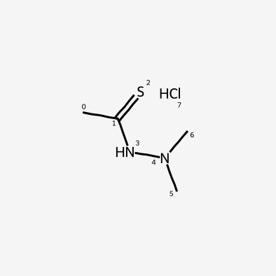 CC(=S)NN(C)C.Cl